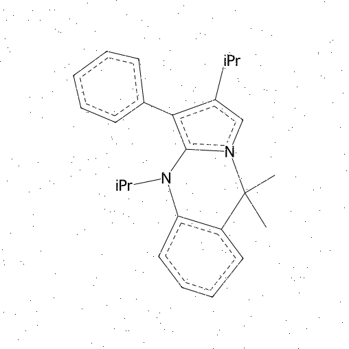 CC(C)c1cn2c(c1-c1ccccc1)N(C(C)C)c1ccccc1C2(C)C